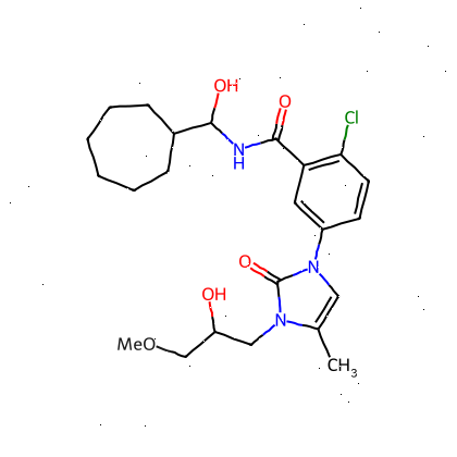 COCC(O)Cn1c(C)cn(-c2ccc(Cl)c(C(=O)NC(O)C3CCCCCC3)c2)c1=O